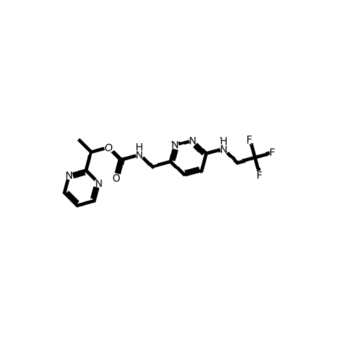 CC(OC(=O)NCc1ccc(NCC(F)(F)F)nn1)c1ncccn1